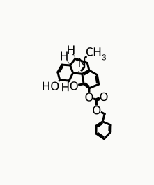 CN1CC[C@]23c4c5ccc(OC(=O)OCc6ccccc6)c4O[C@H]2[C@@H](O)C=C[C@H]3[C@H]1C5